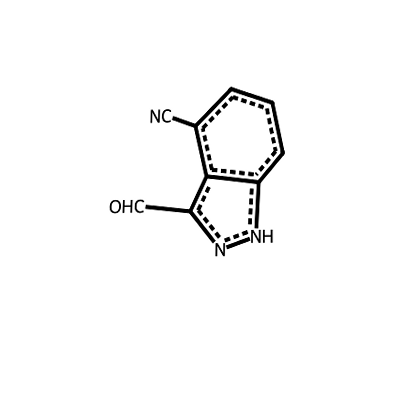 N#Cc1cccc2[nH]nc(C=O)c12